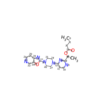 CCCC(=O)O[C@H](C)c1nccc(N2CCN(c3nc4ccncc4o3)CC2)n1